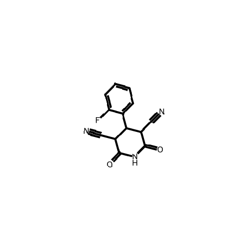 N#CC1C(=O)NC(=O)C(C#N)C1c1ccccc1F